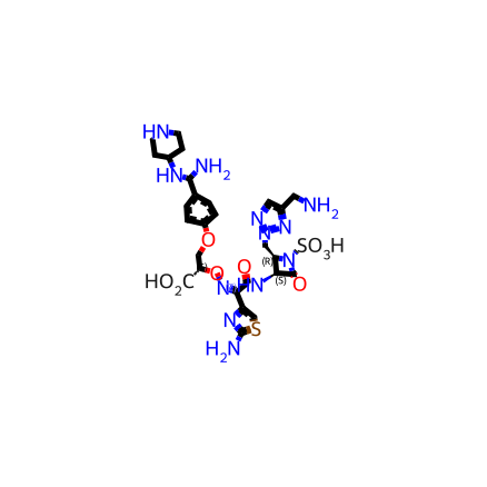 NCc1cnn(C[C@@H]2[C@H](NC(=O)/C(=N\O[C@@H](COc3ccc(C(N)NC4CCNCC4)cc3)C(=O)O)c3csc(N)n3)C(=O)N2S(=O)(=O)O)n1